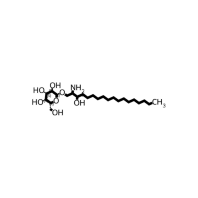 CCCCCCCCCCCCCC[CH]C(O)C(N)CO[C@H]1O[C@H](CO)[C@H](O)[C@H](O)[C@H]1O